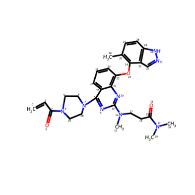 C=CC(=O)N1CCN(c2nc(N(C)CCC(=O)N(C)C)nc3c(Oc4c(C)ccc5[nH]ncc45)cccc23)CC1